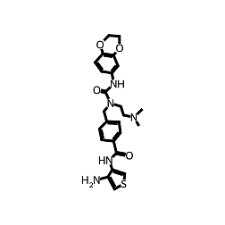 CN(C)CCN(Cc1ccc(C(=O)Nc2cscc2N)cc1)C(=O)Nc1ccc2c(c1)OCCO2